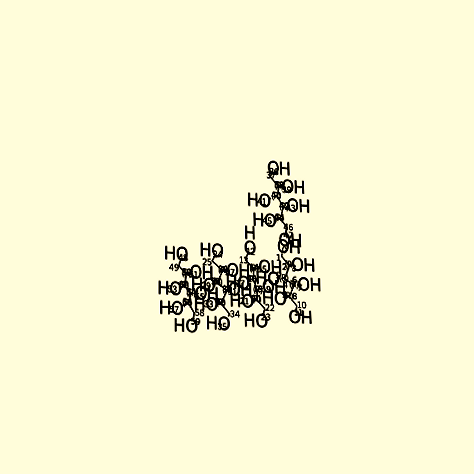 OC[C@@H](O)[C@@H](O)[C@H](O)[C@H](O)CO.OC[C@@H](O)[C@@H](O)[C@H](O)[C@H](O)CO.OC[C@@H](O)[C@@H](O)[C@H](O)[C@H](O)CO.OC[C@@H](O)[C@@H](O)[C@H](O)[C@H](O)CO.OC[C@@H](O)[C@@H](O)[C@H](O)[C@H](O)CO